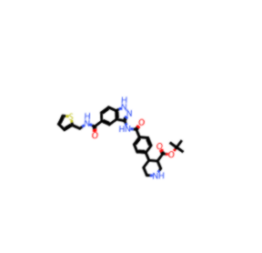 CC(C)(C)OC(=O)C1CNCCC1c1ccc(C(=O)Nc2n[nH]c3ccc(C(=O)NCc4cccs4)cc23)cc1